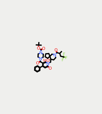 CC(CC(F)(F)F)C(=O)N1CC[C@@](O)(Cn2cc(C(=O)N3CCN(C(=O)OC(C)(C)C)CC3)c(-c3ccccc3)cc2=O)C2(CCCC2)C1